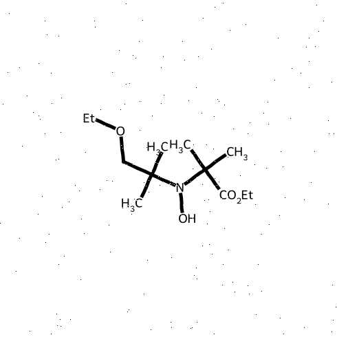 CCOCC(C)(C)N(O)C(C)(C)C(=O)OCC